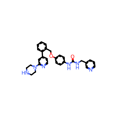 O=C(NCc1cccnc1)Nc1ccc(OCc2ccccc2-c2ccnc(N3CCNCC3)c2)cc1